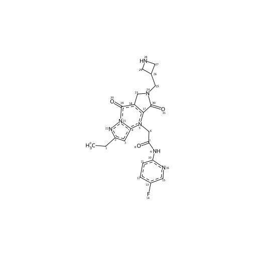 CCc1cc2n(CC(=O)Nc3ccc(F)cn3)c3c(c(=O)n2n1)CN(CC1CNC1)C3=O